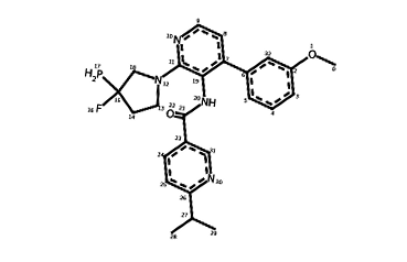 COc1cccc(-c2ccnc(N3CCC(F)(P)C3)c2NC(=O)c2ccc(C(C)C)nc2)c1